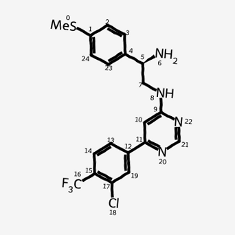 CSc1ccc([C@@H](N)CNc2cc(-c3ccc(C(F)(F)F)c(Cl)c3)ncn2)cc1